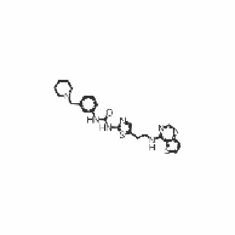 O=C(Nc1cccc(CN2CCCCC2)c1)Nc1ncc(CCNc2ncnc3ccsc23)s1